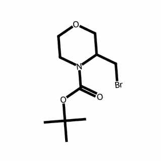 CC(C)(C)OC(=O)N1CCOCC1CBr